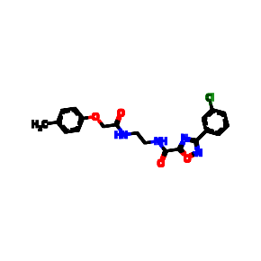 Cc1ccc(OCC(=O)NCCNC(=O)c2nc(-c3cccc(Cl)c3)no2)cc1